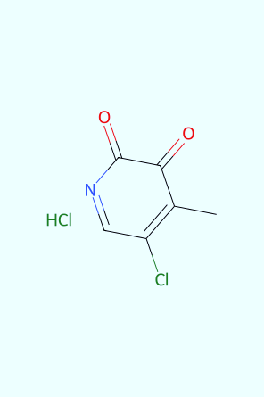 CC1=C(Cl)C=NC(=O)C1=O.Cl